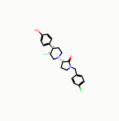 O=C1[C@@H](N2CC[C@H](c3ccc(O)cc3)[C@@H](F)C2)CCN1Cc1ccc(Cl)cc1